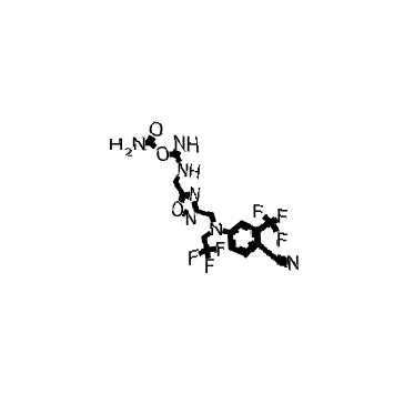 N#Cc1ccc(N(Cc2noc(CNC(=N)OC(N)=O)n2)CC(F)(F)F)cc1C(F)(F)F